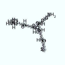 N=C1N[C@H]2[C@H](CS[C@H]2CCCCC(=O)NCCCCCC(=O)Nc2cc(NC(=O)CCCCCNC(=O)CCCC[C@H]3CCCS3)cc(C(=O)NCCOCCOCCN)c2)N1